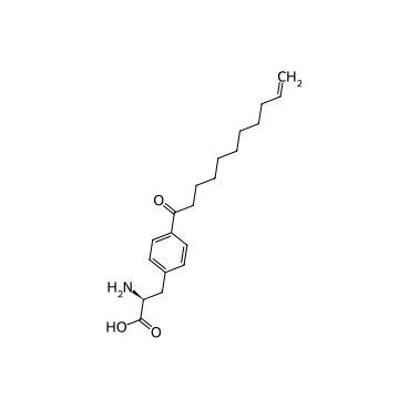 C=CCCCCCCCCC(=O)c1ccc(C[C@H](N)C(=O)O)cc1